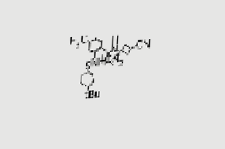 C=C(NC1(C)CC(C#N)C1)c1ccc(C(F)(F)F)cc1NSc1ccc(C(C)(C)C)cc1